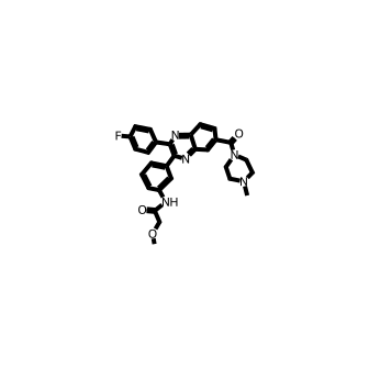 COCC(=O)Nc1cccc(-c2nc3cc(C(=O)N4CCN(C)CC4)ccc3nc2-c2ccc(F)cc2)c1